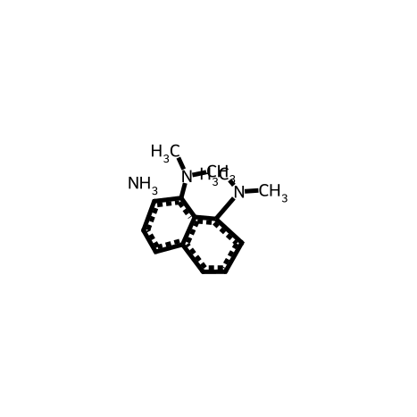 CN(C)c1cccc2cccc(N(C)C)c12.N